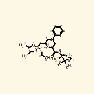 CCO[Si](CCCN(CC(C)C(=O)O[Si](C)(C)C(C)(C)C)c1ccccc1)(OCC)OCC